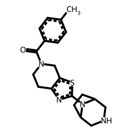 Cc1ccc(C(=O)N2CCc3nc(N4C5CCC4CNC5)sc3C2)cc1